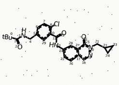 CC(C)(C)C(=O)NCc1ccc(Cl)c(C(=O)Nc2ccc3cnn(CC4CC4)c(=O)c3c2)c1